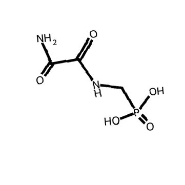 NC(=O)C(=O)NCP(=O)(O)O